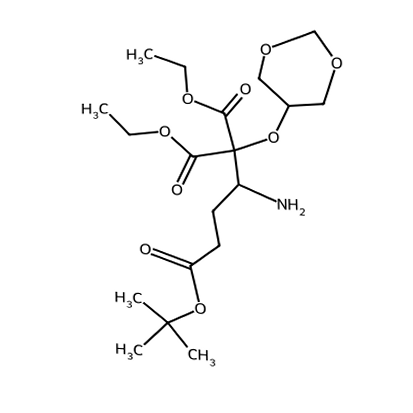 CCOC(=O)C(OC1COCOC1)(C(=O)OCC)C(N)CCC(=O)OC(C)(C)C